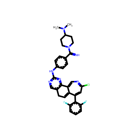 CN(C)C1CCN(C(=N)c2ccc(Nc3ncc4c(n3)C3=CN=C(Cl)C=C(c5c(F)cccc5F)C3=CC4)cc2)CC1